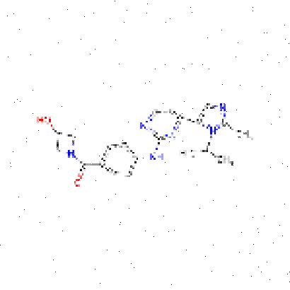 Cc1ncc(-c2ccnc(Nc3ccc(C(=O)N4CC(O)C4)cc3)n2)n1C(C)C